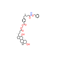 CC(CCC(=O)NOCc1ccccc1)Cc1ccc(C(=O)OCOC(=O)CC[C@@H](C)C2CCC3C4CC[C@@H]5C[C@H](O)CC[C@]5(C)C4C[C@H](O)[C@@]32C)cc1